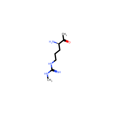 CNC(=N)NCCC[C@@H](N)C(C)=O